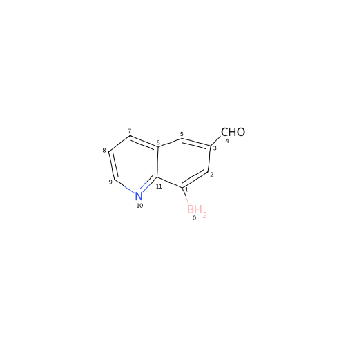 Bc1cc(C=O)cc2cccnc12